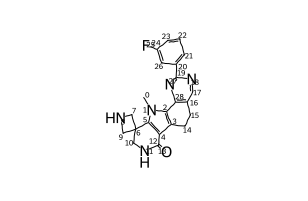 Cn1c2c(c3c1C1(CNC1)CNC3=O)CCc1cnc(-c3cccc(F)c3)nc1-2